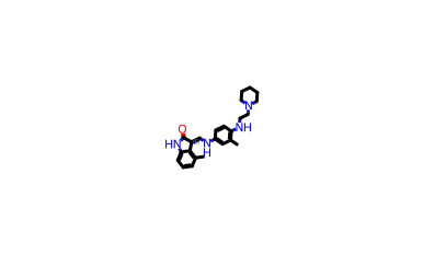 Cc1cc(N/C=C2/C(=O)Nc3cccc(C)c32)ccc1NCCN1CCCCC1